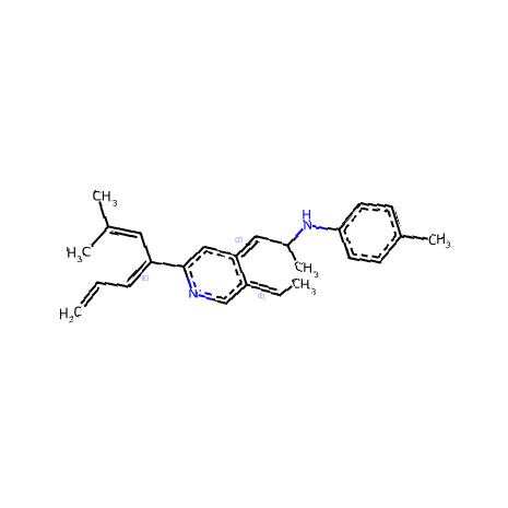 C=C/C=C(\C=C(C)C)c1cc(=C/C(C)Nc2ccc(C)cc2)/c(=C\C)cn1